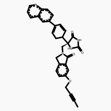 CC#CCOc1ccc2c(c1)C(=O)N(C[C@]1(C3C=CC(c4ccc5ncccc5c4)=CC3)NC(=O)NC1=O)C2